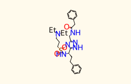 CCN(CC)CCCS(=O)(=O)N[C@H](CCc1ccccc1)c1nc(CNC(=O)Cc2ccccc2)n[nH]1